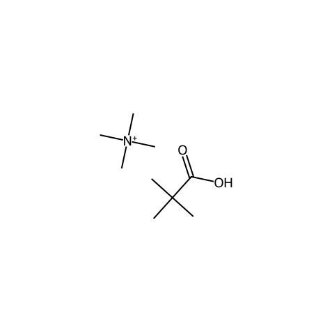 CC(C)(C)C(=O)O.C[N+](C)(C)C